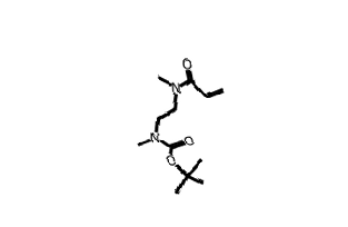 C=CC(=O)N(C)CCN(C)C(=O)OC(C)(C)C